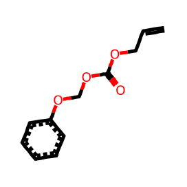 C=CCOC(=O)OCOc1ccccc1